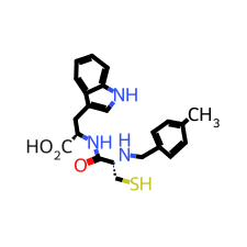 Cc1ccc(CN[C@H](CS)C(=O)N[C@H](Cc2c[nH]c3ccccc23)C(=O)O)cc1